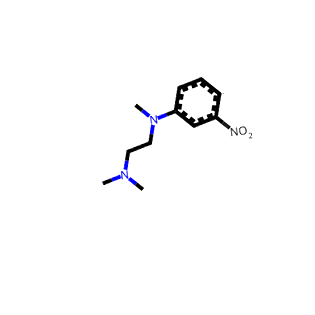 CN(C)CCN(C)c1cc[c]c([N+](=O)[O-])c1